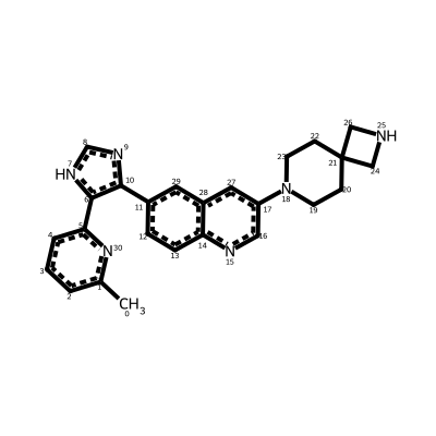 Cc1cccc(-c2[nH]cnc2-c2ccc3ncc(N4CCC5(CC4)CNC5)cc3c2)n1